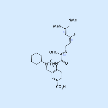 CNC/C(=C\C(F)=C/C/N=C(\C=O)C(=O)Nc1ccc(C(=O)O)cc1CN(C)C1CCCCC1)NC